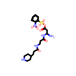 NC(CC(=O)OS(=O)(=O)c1ccccc1[N+](=O)[O-])NC(=O)CCNC(=O)CCC1CCNCC1